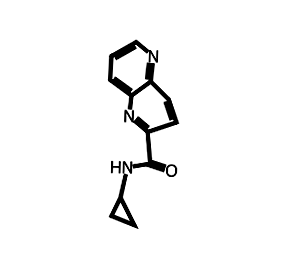 O=C(NC1CC1)c1ccc2ncccc2n1